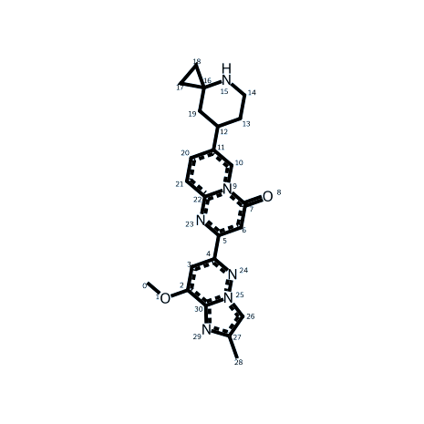 COc1cc(-c2cc(=O)n3cc(C4CCNC5(CC5)C4)ccc3n2)nn2cc(C)nc12